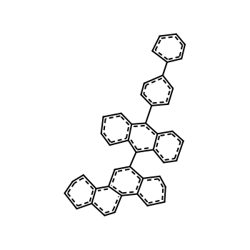 c1ccc(-c2ccc(-c3c4ccccc4c(-c4cc5c6ccccc6ccc5c5ccccc45)c4ccccc34)cc2)cc1